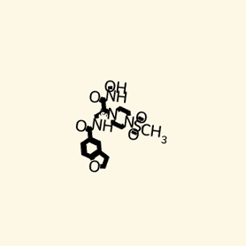 CS(=O)(=O)N1CCN([C@@H](CNC(=O)c2ccc3c(c2)CCO3)C(=O)NO)CC1